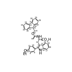 C=C(NC(Cc1c(-c2ccc(OCC)cc2)[nH]c2ccccc12)C(=O)O)OCC1c2ccccc2-c2ccccc21